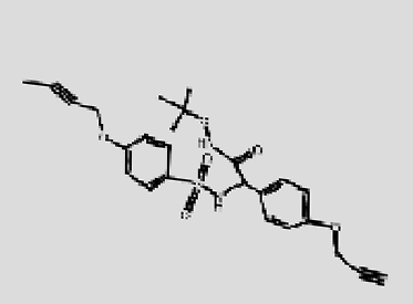 C#CCOc1ccc(C(NS(=O)(=O)c2ccc(OCC#CC)cc2)C(=O)NOC(C)(C)C)cc1